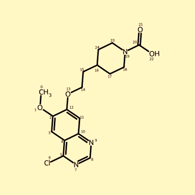 COc1cc2c(Cl)ncnc2cc1OCCC1CCN(C(=O)O)CC1